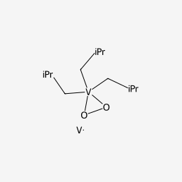 CC(C)[CH2][V]1([CH2]C(C)C)([CH2]C(C)C)[O][O]1.[V]